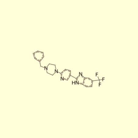 FC(F)(F)c1ccc2[nH]c(-c3ccc(N4CCN(Cc5ccccc5)CC4)nc3)nc2c1